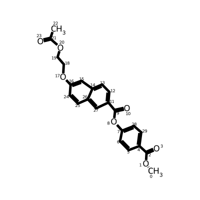 COC(=O)c1ccc(OC(=O)c2ccc3cc(OCCOC(C)=O)ccc3c2)cc1